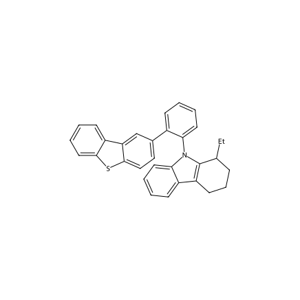 CCC1CCCc2c1n(-c1ccccc1-c1ccc3sc4ccccc4c3c1)c1ccccc21